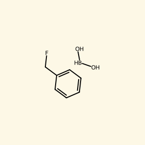 FCc1ccccc1.OBO